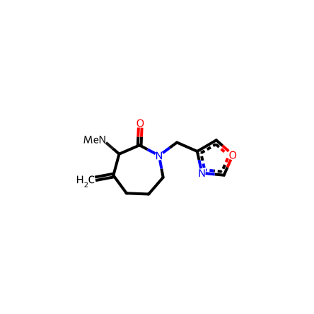 C=C1CCCN(Cc2cocn2)C(=O)C1NC